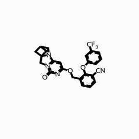 N#Cc1cccc(COc2cc3n(c(=O)n2)CC24CC(CN32)C4)c1Oc1cccc(C(F)(F)F)c1